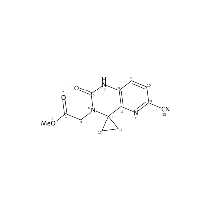 COC(=O)CN1C(=O)Nc2ccc(C#N)nc2C12CC2